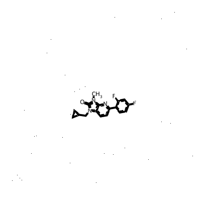 Cn1c(=O)n(CC2CC2)c2ccc(-c3ccc(F)cc3F)nc21